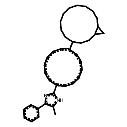 Cc1[nH]c(-c2ccccccc(C3CCCCCCCCCC4CC4CC3)cccccc2)nc1-c1ccccc1